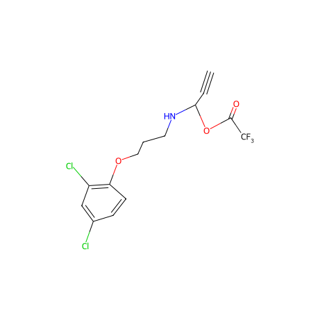 C#CC(NCCCOc1ccc(Cl)cc1Cl)OC(=O)C(F)(F)F